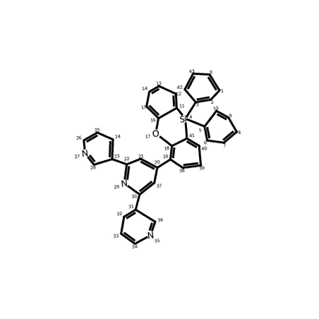 c1ccc([Si]2(c3ccccc3)c3ccccc3Oc3c(-c4cc(-c5cccnc5)nc(-c5cccnc5)c4)cccc32)cc1